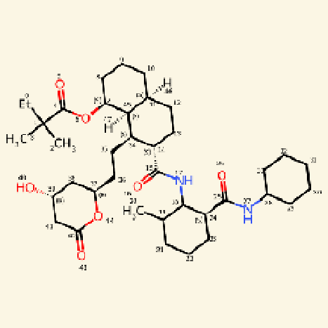 CCC(C)(C)C(=O)O[C@H]1CCC[C@H]2CC[C@H](C(=O)NC3C(C)CCC[C@@H]3C(=O)NC3CCCCC3)[C@@H](CC[C@@H]3C[C@@H](O)CC(=O)O3)[C@H]21